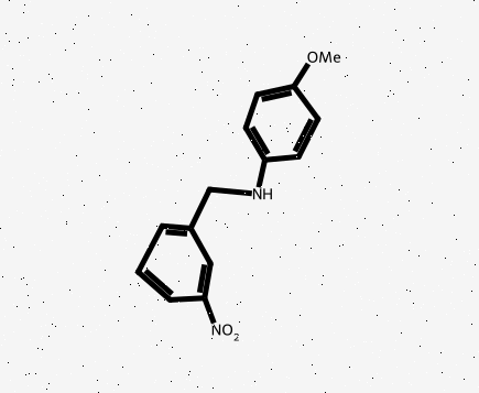 COc1ccc(NCc2cccc([N+](=O)[O-])c2)cc1